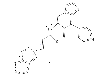 O=C(/C=C/c1ccc2ccccc2c1)NC(Cn1ccnc1)C(=O)Nc1ccncc1